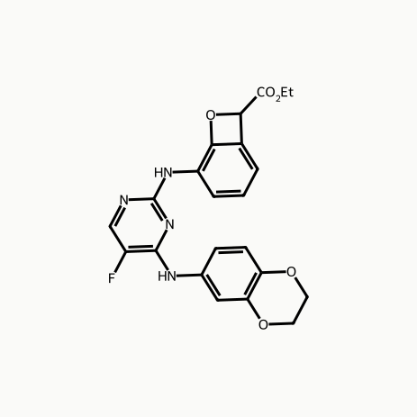 CCOC(=O)C1Oc2c(Nc3ncc(F)c(Nc4ccc5c(c4)OCCO5)n3)cccc21